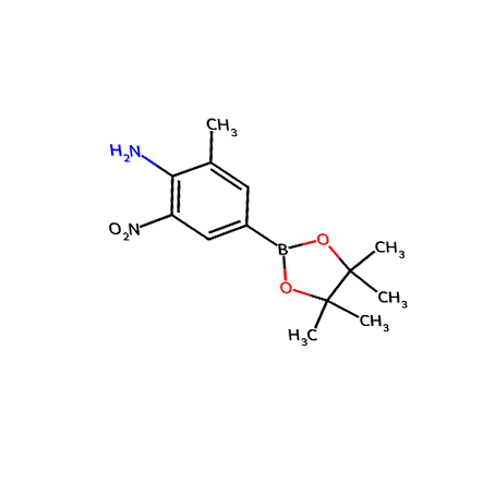 Cc1cc(B2OC(C)(C)C(C)(C)O2)cc([N+](=O)[O-])c1N